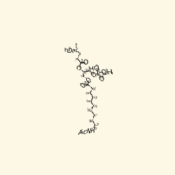 CCCCCCCCCCCCC(=O)O[C@H](COC(=O)CCCCCCCCCNC(C)=O)COP(=O)(O)O